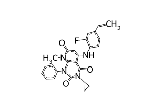 C=Cc1ccc(Nc2cc(=O)n(C)c3c2c(=O)n(C2CC2)c(=O)n3-c2ccccc2)c(F)c1